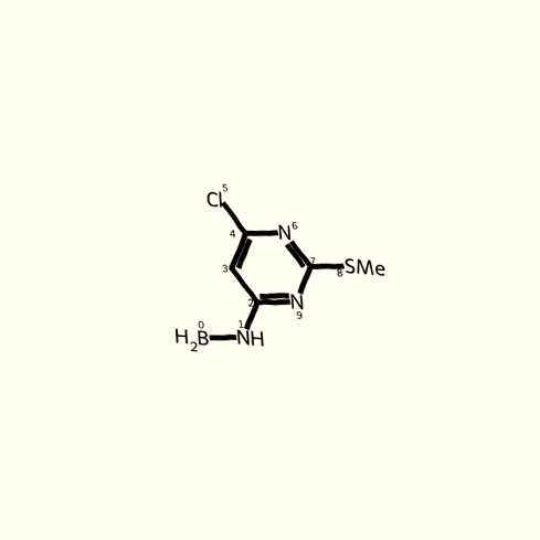 BNc1cc(Cl)nc(SC)n1